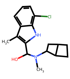 Cc1c(C(O)N(C)C2CC3CCC32)[nH]c2c(Cl)cccc12